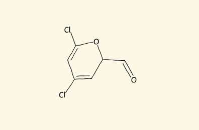 O=CC1C=C(Cl)C=C(Cl)O1